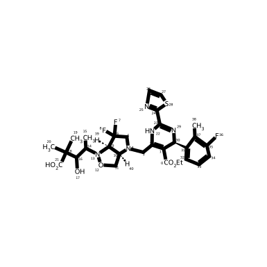 CCOC(=O)C1=C(CN2CC(F)(F)[C@H]3[C@@H]2CON3C(C)C(O)C(C)(C)C(=O)O)NC(c2nccs2)=N[C@H]1c1cccc(F)c1C